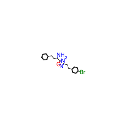 N[C@H](CCc1ccccc1)c1nc(CCc2ccc(Br)cc2)no1